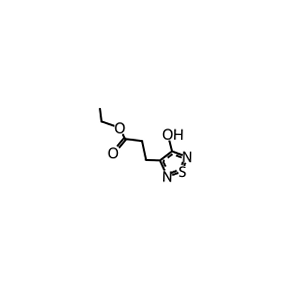 CCOC(=O)CCc1nsnc1O